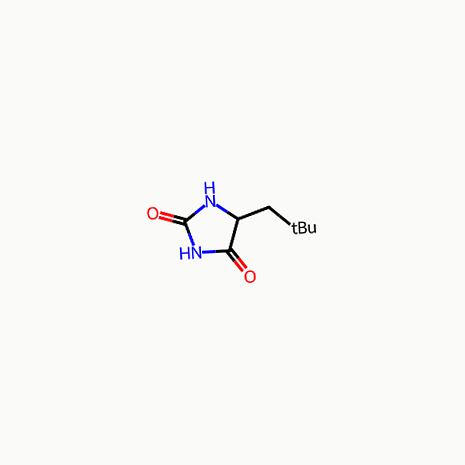 CC(C)(C)CC1NC(=O)NC1=O